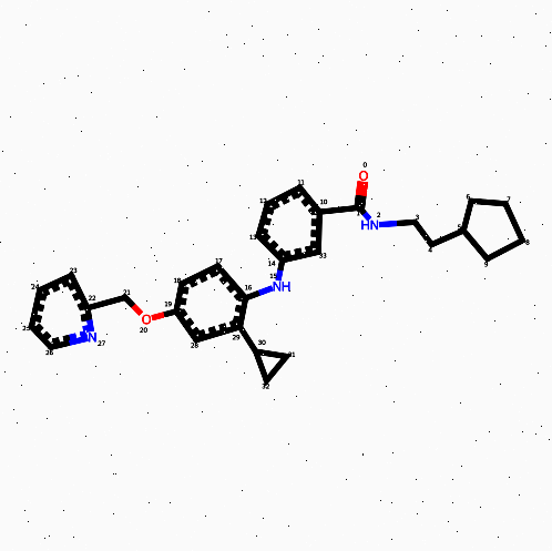 O=C(NCCC1CCCC1)c1cccc(Nc2ccc(OCc3ccccn3)cc2C2CC2)c1